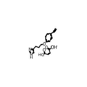 C#Cc1ccc(OCCCc2c[nH]cn2)cc1.O=C(O)/C=C\C(=O)O